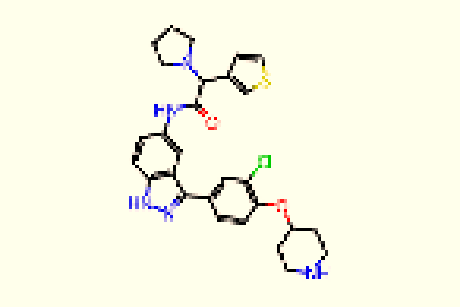 O=C(Nc1ccc2[nH]nc(-c3ccc(OC4CCNCC4)c(Cl)c3)c2c1)C(c1ccsc1)N1CCCC1